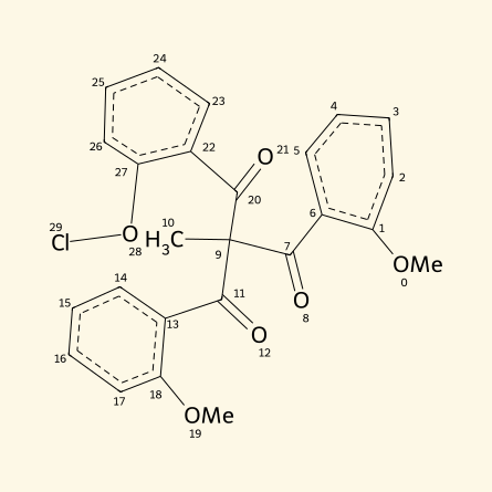 COc1ccccc1C(=O)C(C)(C(=O)c1ccccc1OC)C(=O)c1ccccc1OCl